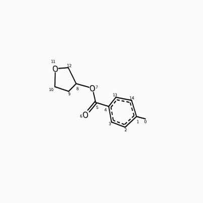 Cc1ccc(C(=O)OC2CCOC2)cc1